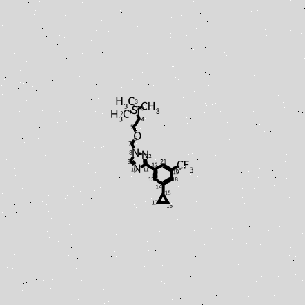 C[Si](C)(C)CCOCn1cnc(-c2cc(C3CC3)cc(C(F)(F)F)c2)n1